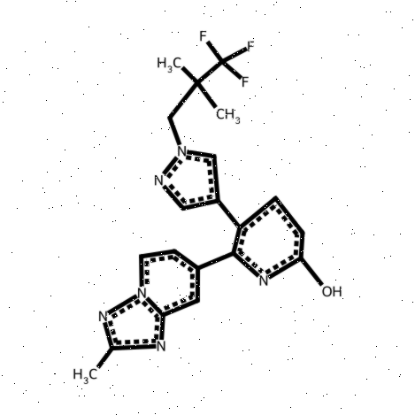 Cc1nc2cc(-c3nc(O)ccc3-c3cnn(CC(C)(C)C(F)(F)F)c3)ccn2n1